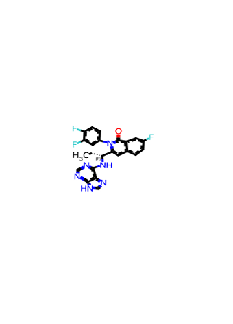 CC[C@@H](Nc1ncnc2[nH]cnc12)c1cc2ccc(F)cc2c(=O)n1-c1ccc(F)c(F)c1